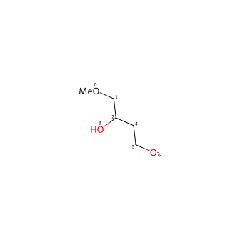 COCC(O)CC[O]